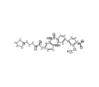 COc1cc(-c2ccc3c(c2)Nc2ccc(CC(=O)NCCCN4CCCC4)cc2NC3=O)ccc1[N+](=O)[O-]